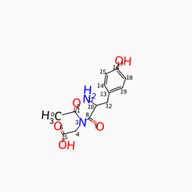 CC(=O)N(CC(=O)O)C(=O)C(N)Cc1ccc(O)cc1